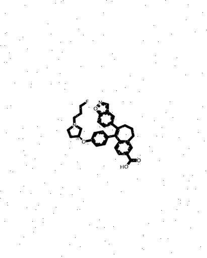 O=C(O)c1ccc2c(c1)CCCC(c1ccc3oncc3c1)=C2c1ccc(O[C@H]2CCN(CCCF)C2)cc1